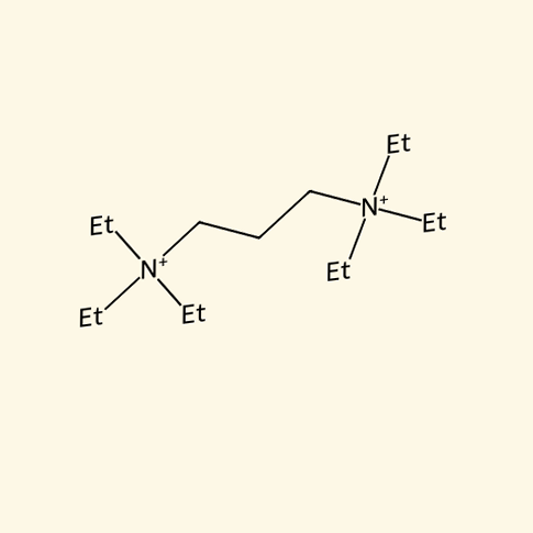 CC[N+](CC)(CC)CCC[N+](CC)(CC)CC